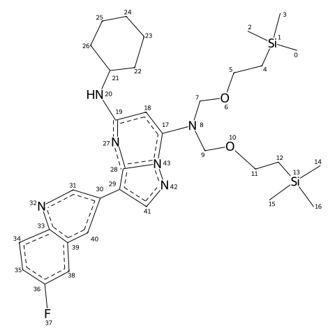 C[Si](C)(C)CCOCN(COCC[Si](C)(C)C)c1cc(NC2CCCCC2)nc2c(-c3cnc4ccc(F)cc4c3)cnn12